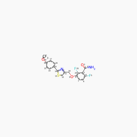 NC(=O)c1c(F)ccc(OCc2csc(-c3ccc(OC(F)(F)F)cc3)n2)c1F